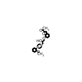 COc1ccccc1N1CCN(CC(O)COc2cccc3cc(C(C)=O)oc23)CC1